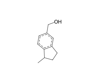 CC1CCc2cc(CO)ccc21